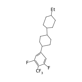 CCC1CCC(C2CCC(c3cc(F)c(C(F)(F)F)c(F)c3)CC2)CC1